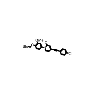 COc1cc(-n2ccc(C#Cc3ccc(Cl)cc3)cc2=O)ccc1OCC(C)(C)C